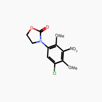 COc1c(Cl)cc(N2CCOC2=O)c(OC)c1[N+](=O)[O-]